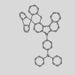 c1ccc(N(c2ccccc2)c2ccc(-n3c4ccc5c(c4c4c6ccccc6ccc43)Sc3ccccc3C53c4ccccc4-c4ccccc43)cc2)cc1